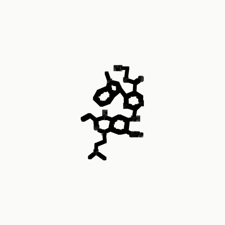 C=CC(=O)Nc1cc(Nc2ncc(C(=O)OCC#N)c(-c3cn(C)c4ccccc34)n2)c(OC)cc1N(C)CCN(C)C